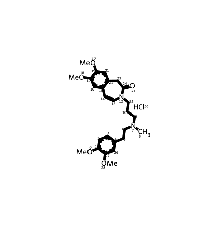 COc1ccc(CCN(C)CCCN2C=Cc3cc(OC)c(OC)cc3CC2=O)cc1OC.Cl